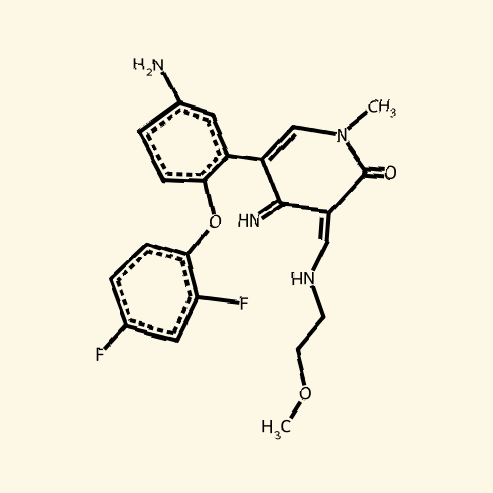 COCCN/C=C1\C(=N)C(c2cc(N)ccc2Oc2ccc(F)cc2F)=CN(C)C1=O